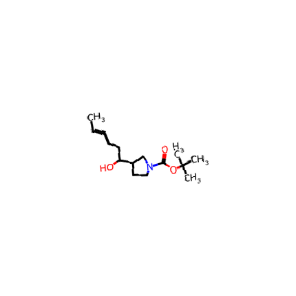 C/C=C/CCC(O)C1CCN(C(=O)OC(C)(C)C)C1